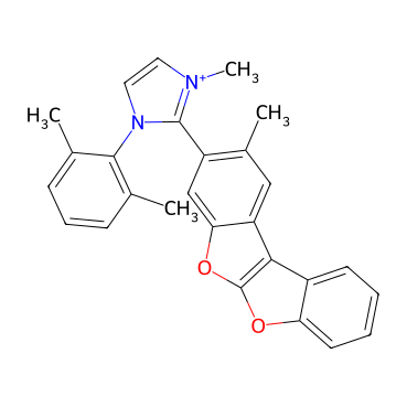 Cc1cc2c(cc1-c1n(-c3c(C)cccc3C)cc[n+]1C)oc1oc3ccccc3c12